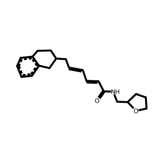 O=C(/C=C/C=C/CC1CCc2ccccc2C1)NCC1CCCO1